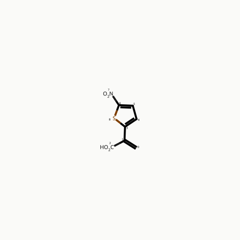 C=C(C(=O)O)c1ccc([N+](=O)[O-])s1